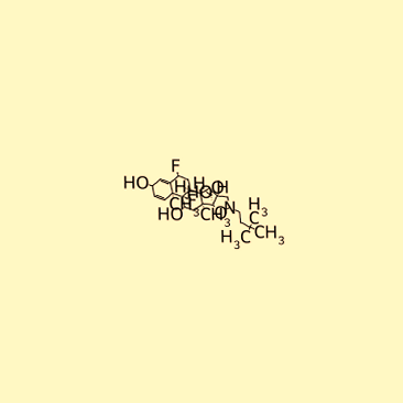 CC(C)(C)CCN1C[C@@H]2C[C@H]3[C@@H]4C[C@H](F)C5=CC(O)C=C[C@]5(C)[C@@]4(F)[C@@H](O)C[C@]3(C)[C@]2(C(=O)O)O1